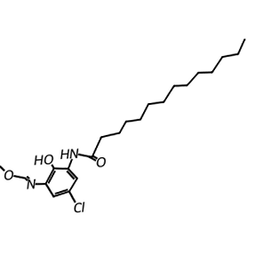 CCCCCCCCCCCCCC(=O)Nc1cc(Cl)cc(N=COC)c1O